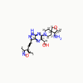 Cc1noc(C)c1C#Cc1n[nH]c2nc(N3CCC4(CC3)CO[C@@H](C)[C@H]4N)c(CO)nc12